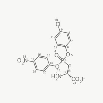 N[C@@H](CP(=O)(Oc1ccc(Cl)cc1)Oc1ccc([N+](=O)[O-])cc1)C(=O)O